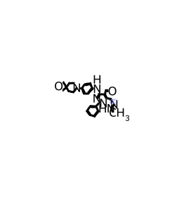 CN/N=C\c1nc(-c2ccccc2)nc(Nc2ccc(N3CCC4(CC3)COC4)cc2)c1C=O